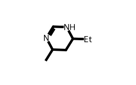 CCC1CC(C)N=CN1